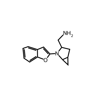 NCC1CC2CC2N1c1cc2ccccc2o1